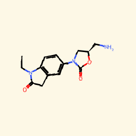 CCN1C(=O)Cc2cc(N3C[C@@H](CN)OC3=O)ccc21